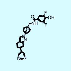 O=C(NC[C@]12CC[C@](n3cc4ccc(-c5cncnc5)cc4n3)(CC1)CC2)c1cc(F)c(O)c(F)c1